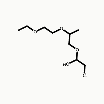 CCOC[CH]OC(C)COC(O)CCl